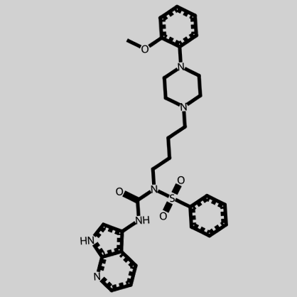 COc1ccccc1N1CCN(CCCCN(C(=O)Nc2c[nH]c3ncccc23)S(=O)(=O)c2ccccc2)CC1